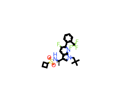 C[C@@H](NS(=O)(=O)C1CCC1)c1cn(CC(C)(C)C)c2nc(-c3ccccc3C(F)(F)F)c(F)cc12